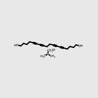 CCOC(=O)N(C)C.OCCCCC#CC#CCCC#CC#CCCCCO